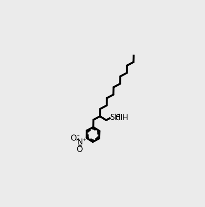 CCCCCCCCCCCC(CS)Cc1cccc([N+](=O)[O-])c1.Cl